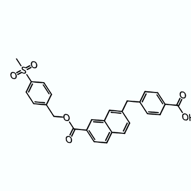 CS(=O)(=O)c1ccc(COC(=O)c2ccc3ccc(Cc4ccc(C(=O)O)cc4)cc3c2)cc1